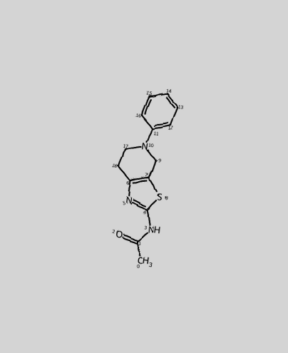 CC(=O)Nc1nc2c(s1)CN(c1ccccc1)CC2